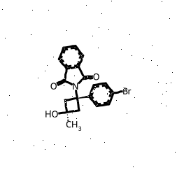 C[C@]1(O)C[C@](c2ccc(Br)cc2)(N2C(=O)c3ccccc3C2=O)C1